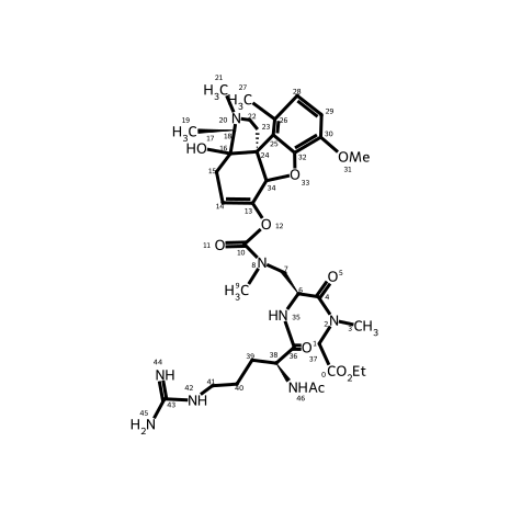 CCOC(=O)CN(C)C(=O)[C@H](CN(C)C(=O)OC1=CCC2(O)[C@@H](C)N(C)CC[C@@]23c2c(C)ccc(OC)c2OC13)NC(=O)[C@H](CCCNC(=N)N)NC(C)=O